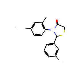 COc1ccc(N2C(=O)CSC2c2cccc(C(F)(F)F)c2)c(C)c1